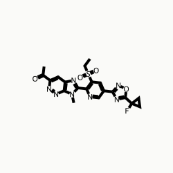 CCS(=O)(=O)c1cc(-c2noc(C3(F)CC3)n2)cnc1-c1nc2cc(C(C)=O)nnc2n1C